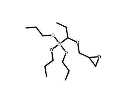 CCCO[Si](OCCC)(OCCC)C(CC)OCC1CO1